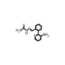 NC(=S)NN=Cc1ccccc1-c1ncccc1N